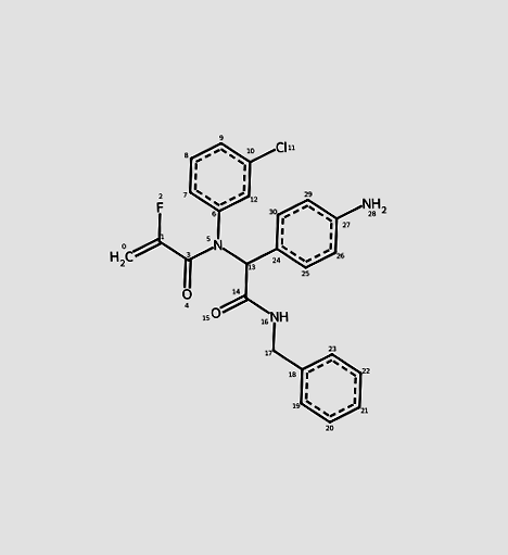 C=C(F)C(=O)N(c1cccc(Cl)c1)C(C(=O)NCc1ccccc1)c1ccc(N)cc1